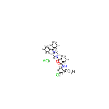 Cl.O=C(O)c1cc(Cl)ccc1NC(=O)[C@H]1CCCC[C@H]1C(=O)N1CCN(C(c2ccccc2)c2ccccc2)CC1